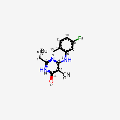 CC[C@H](C)Cc1nc(Nc2cc(F)ccc2C)c(C#N)c(=O)[nH]1